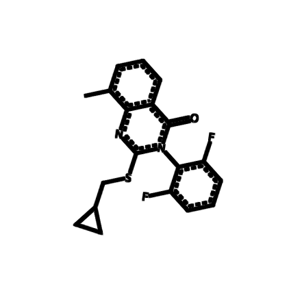 Cc1cccc2c(=O)n(-c3c(F)cccc3F)c(SCC3CC3)nc12